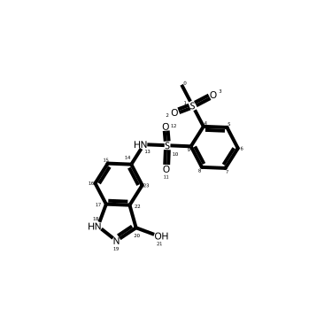 CS(=O)(=O)c1ccccc1S(=O)(=O)Nc1ccc2[nH]nc(O)c2c1